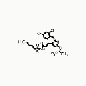 CCCCCS(=O)(=O)NC(=O)C=Cc1cc(OC(C)C)nn1Cc1ccc(Cl)cc1Cl